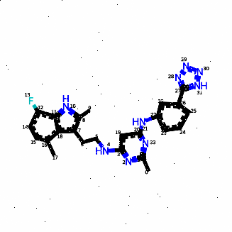 Cc1nc(NCCc2c(C)[nH]c3c(F)ccc(C)c23)cc(Nc2cccc(-c3nnn[nH]3)c2)n1